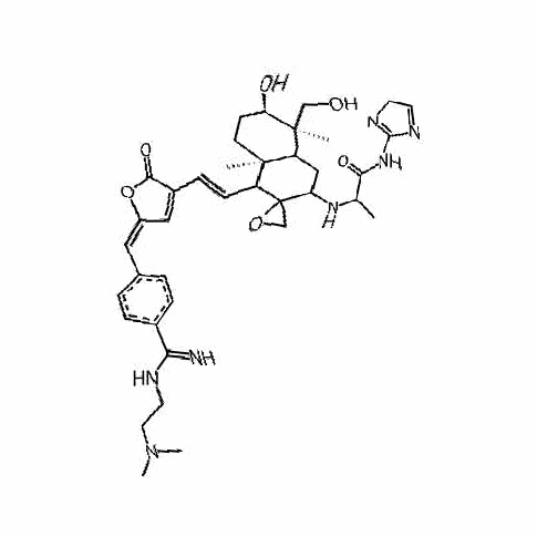 CC(NC1CC2[C@](C)(CC[C@@H](O)[C@@]2(C)CO)C(/C=C/C2=CC(=C\c3ccc(C(=N)NCCN(C)C)cc3)/OC2=O)C12CO2)C(=O)NC1=NCC=N1